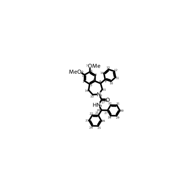 COc1cc2c(cc1OC)C(c1ccccc1)CN(C(=O)NC(c1ccccc1)c1ccccc1)CC2